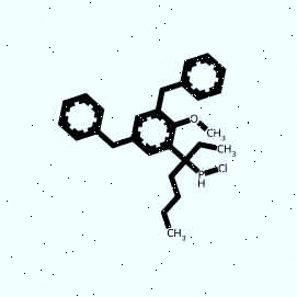 CCCCC(CC)(PCl)c1cc(Cc2ccccc2)cc(Cc2ccccc2)c1OC